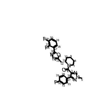 Cn1nc(C(=O)N2CCCC[C@H]2Cc2nnc(-c3cccc(F)c3F)o2)c(-c2ccc(F)cc2)n1